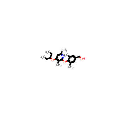 CCC(CC)Oc1cc(C)nc(Oc2c(C)cc(CO)cc2C)c1C